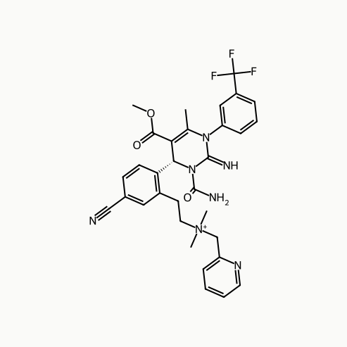 COC(=O)C1=C(C)N(c2cccc(C(F)(F)F)c2)C(=N)N(C(N)=O)[C@@H]1c1ccc(C#N)cc1CC[N+](C)(C)Cc1ccccn1